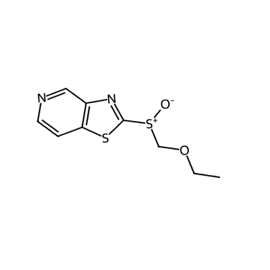 CCOC[S+]([O-])c1nc2cnccc2s1